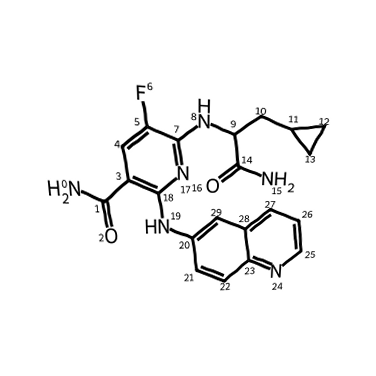 NC(=O)c1cc(F)c(NC(CC2CC2)C(N)=O)nc1Nc1ccc2ncccc2c1